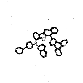 c1ccc(-c2ccc(N(c3ccc4ccccc4c3)c3cccc4c3oc3c(-c5ccc6c7ccccc7c7ccccc7c6c5)c5ccccc5cc34)cc2)cc1